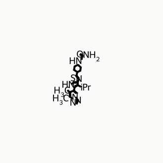 Cc1c(-c2[nH]c3sc(C4CCC(NCC(N)=O)CC4)nc3c2C(C)C)cn2ncnc2c1C